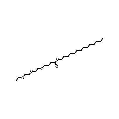 CCCCCCCCCCCCCCOC(=O)CCCOCCOCCOCC